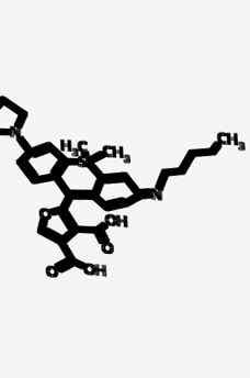 CCCCC/N=C1/C=CC2=C(c3occ(C(=O)O)c3C(=O)O)c3ccc(N4CCCC4)cc3[Si](C)(C)C2=C1